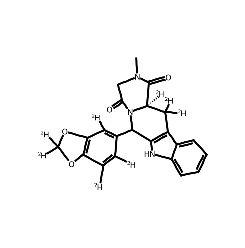 [2H]c1c([2H])c(C2c3[nH]c4ccccc4c3C([2H])([2H])[C@]3([2H])C(=O)N(C)CC(=O)N23)c([2H])c2c1OC([2H])([2H])O2